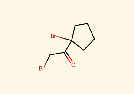 O=C(CBr)C1(Br)CCCC1